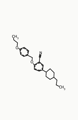 CCCOc1ccc(COc2ccc(C3CCC(CCC)CC3)cc2C#N)cc1